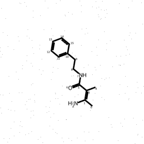 C/C(N)=C(\C)C(=O)NCCc1ccccc1